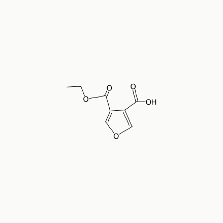 CCOC(=O)c1cocc1C(=O)O